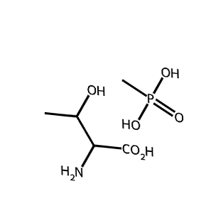 CC(O)C(N)C(=O)O.CP(=O)(O)O